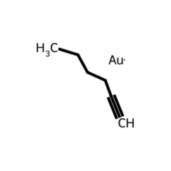 C#CCCCC.[Au]